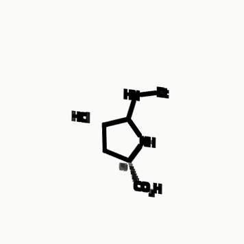 CCNC1CC[C@@H](C(=O)O)N1.Cl